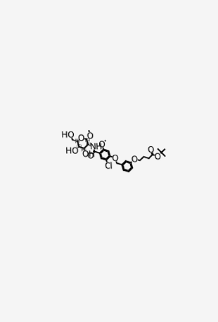 COc1cc(OCc2cccc(OCCCC(=O)OC(C)(C)C)c2)c(Cl)cc1C(=O)N[C@H]1[C@@H](OC)O[C@H](CO)[C@@H](O)[C@@H]1O